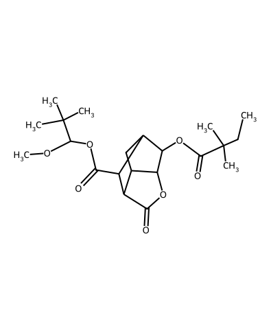 CCC(C)(C)C(=O)OC1C2CC3C1OC(=O)C3C2C(=O)OC(OC)C(C)(C)C